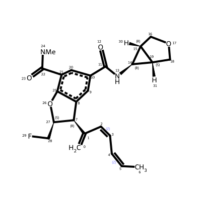 C=C(/C=C\C=C/C)[C@@H]1c2cc(C(=O)N[C@H]3[C@@H]4COC[C@@H]43)cc(C(=O)NC)c2O[C@@H]1CF